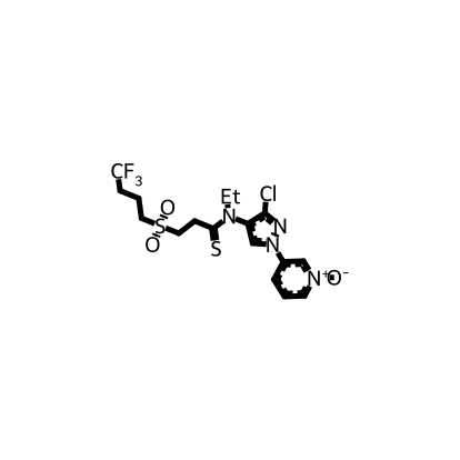 CCN(C(=S)CCS(=O)(=O)CCCC(F)(F)F)c1cn(-c2ccc[n+]([O-])c2)nc1Cl